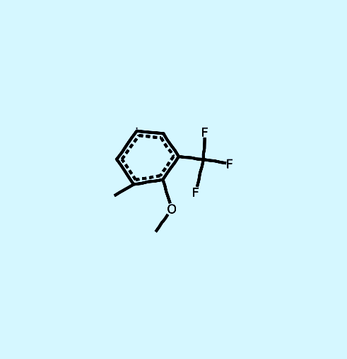 COc1c(C)c[c]cc1C(F)(F)F